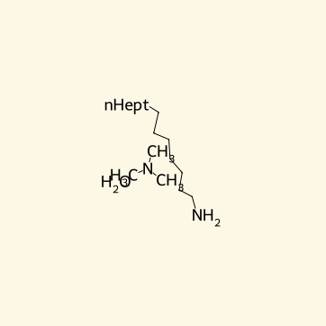 CCCCCCCCCCCCCCN.CN(C)C.O